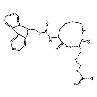 N=C(Cl)NCCCC1NC(=O)C(NC(=O)OCC2c3ccccc3-c3ccccc32)CCCCNC1=O